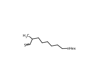 CCCCCCCCCCCCC(C)C=S